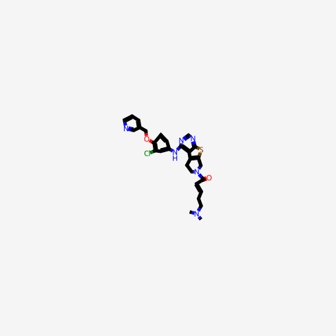 CN(C)CC/C=C/C(=O)N1CCc2c(sc3ncnc(Nc4ccc(OCc5cccnc5)c(Cl)c4)c23)C1